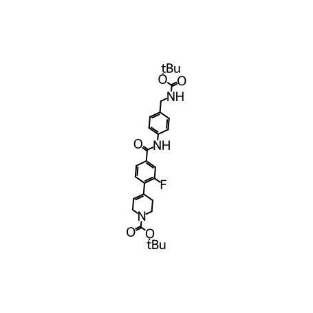 CC(C)(C)OC(=O)NCc1ccc(NC(=O)c2ccc(C3=CCN(C(=O)OC(C)(C)C)CC3)c(F)c2)cc1